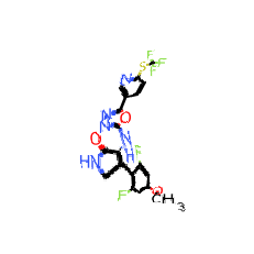 COc1cc(F)c(C2CNC(=O)[C@@H]2Nc2nnc(-c3ccc(SC(F)(F)F)nc3)o2)c(F)c1